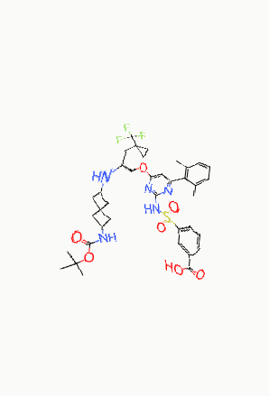 Cc1cccc(C)c1-c1cc(OCC(CC2(C(F)(F)F)CC2)NC2CC3(CC(NC(=O)OC(C)(C)C)C3)C2)nc(NS(=O)(=O)c2cccc(C(=O)O)c2)n1